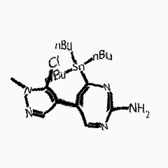 CCC[CH2][Sn]([CH2]CCC)([CH2]CCC)[c]1nc(N)ncc1-c1cnn(C)c1Cl